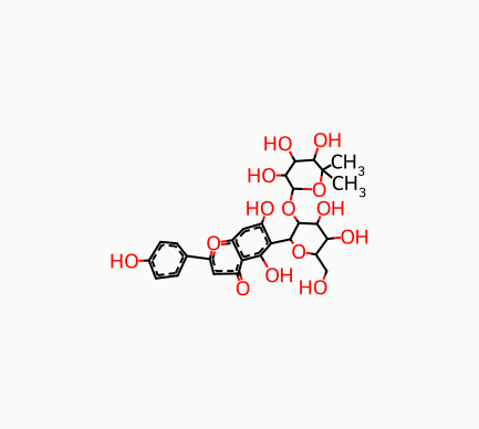 CC1(C)OC(OC2C(c3c(O)cc4oc(-c5ccc(O)cc5)cc(=O)c4c3O)OC(CO)C(O)C2O)C(O)C(O)C1O